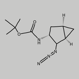 CC(C)(C)OC(=O)N[C@@H]1C[C@H]2C[C@H]2C1N=[N+]=[N-]